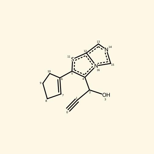 C#CC(O)c1c(C2=CCCC2)sc2cncn12